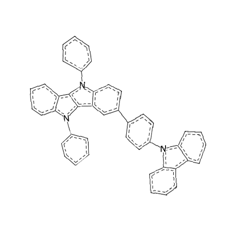 c1ccc(-n2c3ccc(-c4ccc(-n5c6ccccc6c6ccccc65)cc4)cc3c3c2c2ccccc2n3-c2ccccc2)cc1